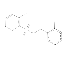 NC1=C(S(=O)(=O)NCc2ccccc2Cl)[CH]CC=C1